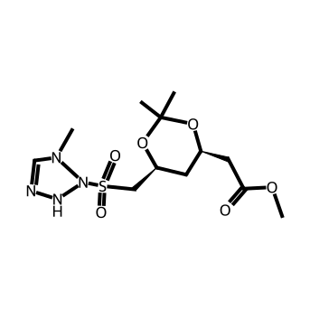 COC(=O)C[C@H]1C[C@@H](CS(=O)(=O)N2NN=CN2C)OC(C)(C)O1